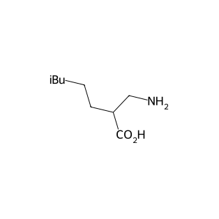 CCC(C)CCC(CN)C(=O)O